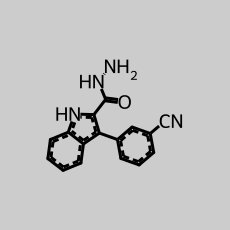 N#Cc1cccc(-c2c(C(=O)NN)[nH]c3ccccc23)c1